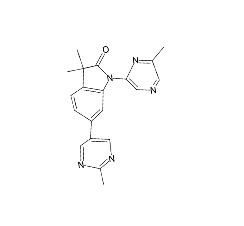 Cc1cncc(N2C(=O)C(C)(C)c3ccc(-c4cnc(C)nc4)cc32)n1